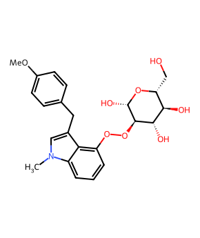 COc1ccc(Cc2cn(C)c3cccc(OO[C@@H]4[C@@H](O)[C@H](O)[C@@H](CO)O[C@H]4O)c23)cc1